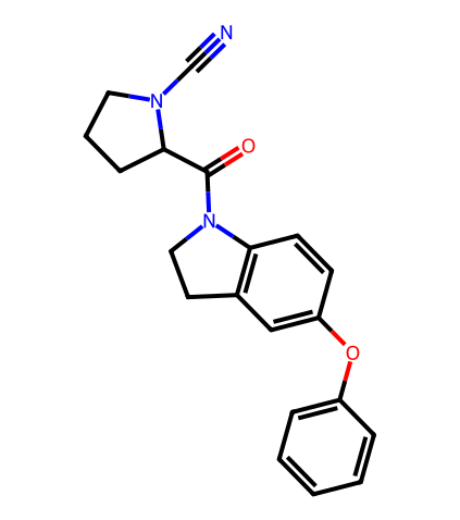 N#CN1CCCC1C(=O)N1CCc2cc(Oc3ccccc3)ccc21